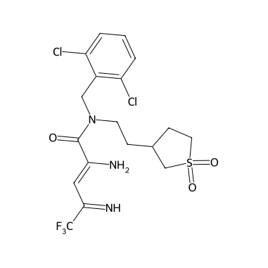 N=C(/C=C(\N)C(=O)N(CCC1CCS(=O)(=O)C1)Cc1c(Cl)cccc1Cl)C(F)(F)F